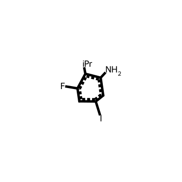 CC(C)c1c(N)cc(I)cc1F